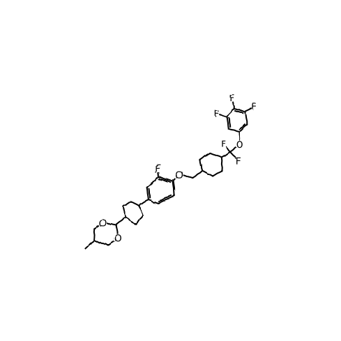 CC1COC(C2CCC(c3ccc(OCC4CCC(C(F)(F)Oc5cc(F)c(F)c(F)c5)CC4)c(F)c3)CC2)OC1